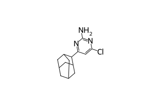 Nc1nc(Cl)cc(C2C3CC4CC(C3)CC2C4)n1